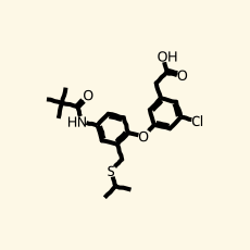 CC(C)SCc1cc(NC(=O)C(C)(C)C)ccc1Oc1cc(Cl)cc(CC(=O)O)c1